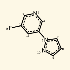 Fc1cncc(-n2cccn2)c1